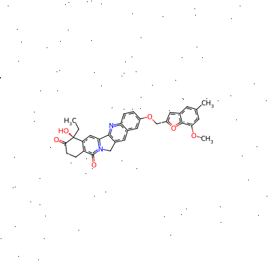 CC[C@@]1(O)C(=O)CCc2c1cc1n(c2=O)Cc2cc3cc(OCc4cc5cc(C)cc(OC)c5o4)ccc3nc2-1